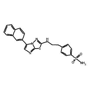 NS(=O)(=O)c1ccc(CCNc2nn3c(-c4ccc5ccccc5c4)cnc3s2)cc1